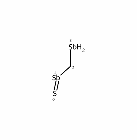 [S]=[Sb][CH2][SbH2]